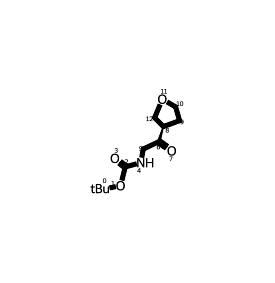 CC(C)(C)OC(=O)NCC(=O)[C@@H]1CCOC1